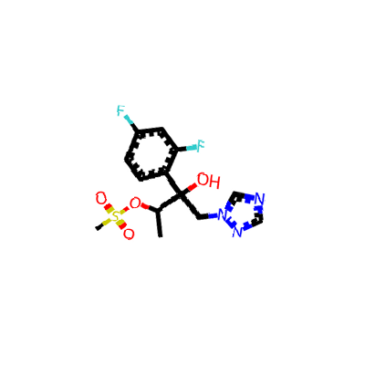 CC(OS(C)(=O)=O)C(O)(Cn1cncn1)c1ccc(F)cc1F